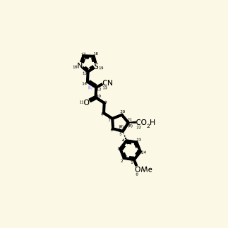 COc1ccc([C@@H]2CC(CCC(=O)/C(C#N)=C/c3nccs3)C[C@H]2C(=O)O)cc1